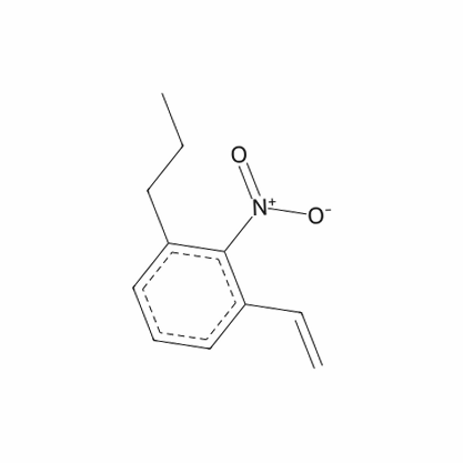 C=Cc1cccc(CCC)c1[N+](=O)[O-]